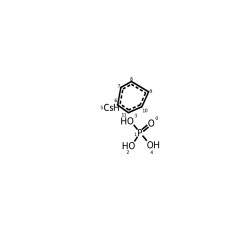 O=P(O)(O)O.[CsH].c1ccccc1